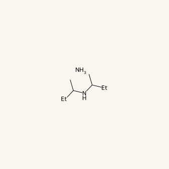 CCC(C)NC(C)CC.N